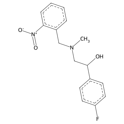 CN(Cc1ccccc1[N+](=O)[O-])CC(O)c1ccc(F)cc1